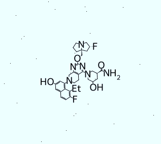 CCc1c(F)ccc2cc(O)cc(N3CCc4c(nc(OC[C@@]56CCCN5C[C@H](F)C6)nc4N4C[C@H](O)C[C@H](C(N)=O)C4)C3)c12